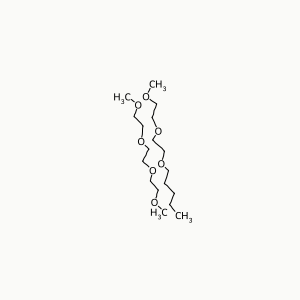 CCCCCOCCOCCOC.COCCOCCOCCOC